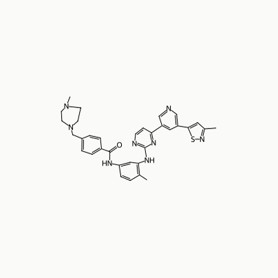 Cc1cc(-c2cncc(-c3ccnc(Nc4cc(NC(=O)c5ccc(CN6CCN(C)CC6)cc5)ccc4C)n3)c2)sn1